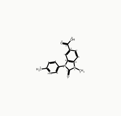 Cc1ccc(-n2c(=O)n(C)c3ccc(C(=O)O)cc32)cn1